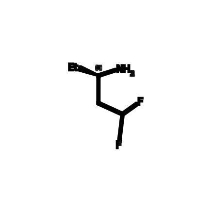 CC[C@@H](N)CC(F)F